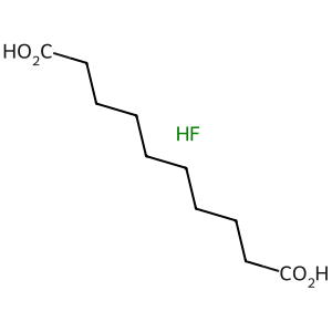 F.O=C(O)CCCCCCCCC(=O)O